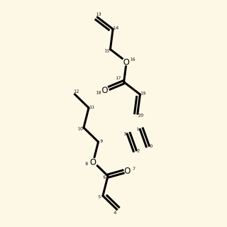 C=C.C=C.C=CC(=O)OCCCC.C=CCOC(=O)C=C